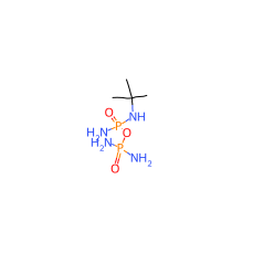 CC(C)(C)NP(N)(=O)OP(N)(N)=O